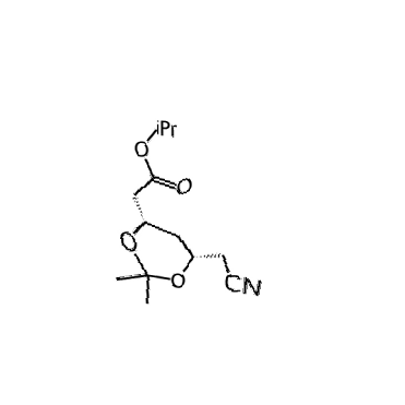 CC(C)OC(=O)C[C@@H]1C[C@H](CC#N)OC(C)(C)O1